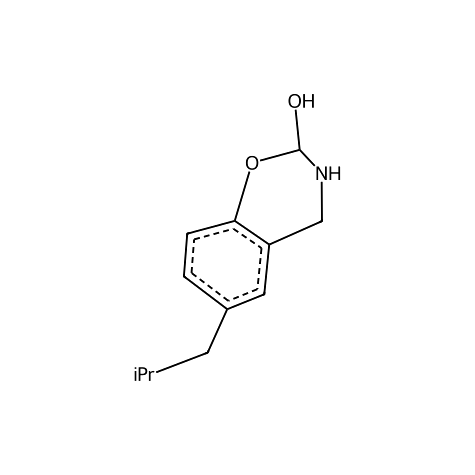 CC(C)Cc1ccc2c(c1)CNC(O)O2